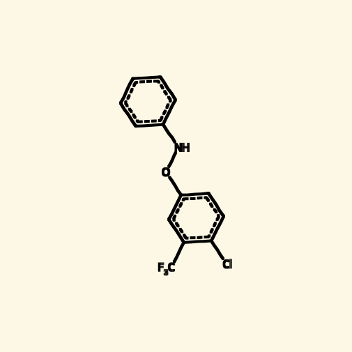 FC(F)(F)c1cc(ONc2ccccc2)ccc1Cl